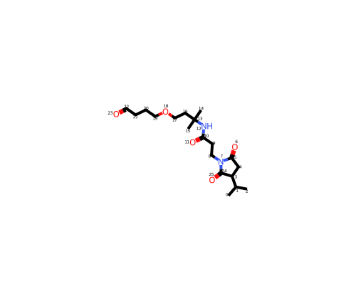 CC(C)C1CC(=O)N(CCC(=O)NC(C)(C)CCOCCCC=O)C1=O